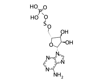 Nc1ncnc2c1ncn2[C@@H]1O[C@H](COSOP(=O)(O)O)[C@@H](O)[C@H]1O